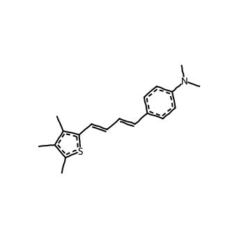 Cc1sc(/C=C/C=C/c2ccc(N(C)C)cc2)c(C)c1C